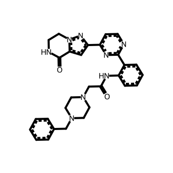 O=C(CN1CCN(Cc2ccccc2)CC1)Nc1ccccc1-c1nccc(-c2cc3n(n2)CCNC3=O)n1